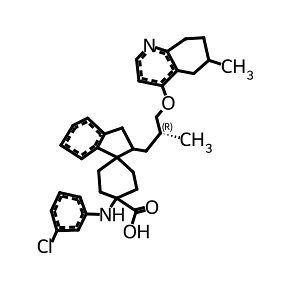 CC1CCc2nccc(OC[C@H](C)CC3Cc4ccccc4C34CCC(Nc3cccc(Cl)c3)(C(=O)O)CC4)c2C1